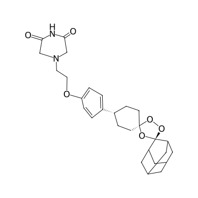 O=C1CN(CCOc2ccc([C@H]3CC[C@]4(CC3)OO[C@]3(O4)C4CC5CC(C4)CC3C5)cc2)CC(=O)N1